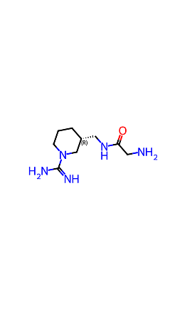 N=C(N)N1CCC[C@H](CNC(=O)CN)C1